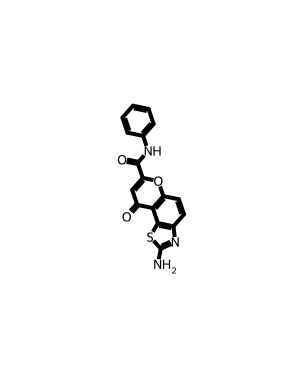 Nc1nc2ccc3oc(C(=O)Nc4ccccc4)cc(=O)c3c2s1